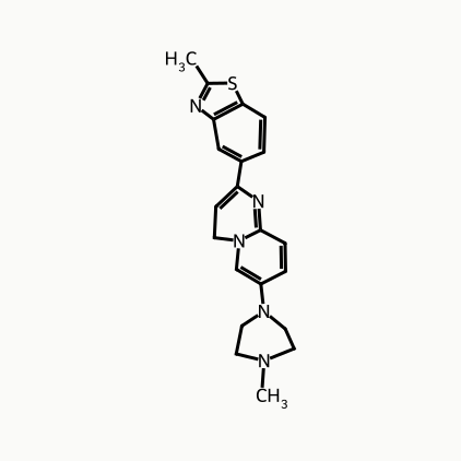 Cc1nc2cc(C3=CCN4C=C(N5CCN(C)CC5)C=CC4=N3)ccc2s1